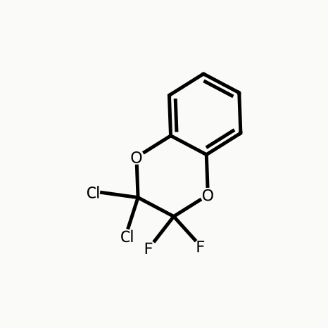 FC1(F)Oc2ccccc2OC1(Cl)Cl